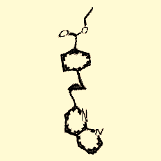 CCOC(=O)c1ccc(C=Cc2ccc3cccnc3n2)cc1